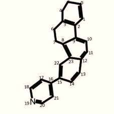 C1=CC2=C(CC1)CCc1c2ccc2ccc(-c3ccncc3)cc12